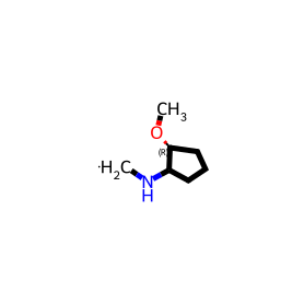 [CH2]NC1CCC[C@H]1OC